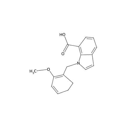 COC1=C(Cn2ccc3cccc(C(=O)O)c32)CCC=C1